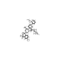 CCOc1ncccc1-c1ccc(N2CCN(C(=O)c3ccc(Cl)cc3C(F)(F)F)CC2CC)c(C(=O)NCCNC)n1